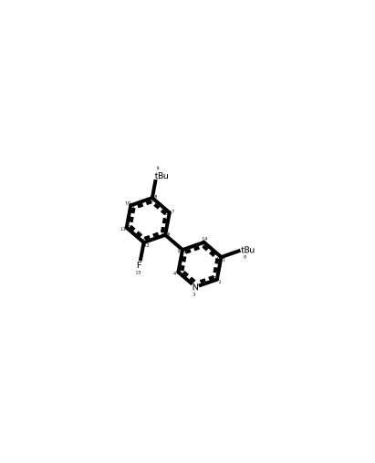 CC(C)(C)c1cncc(-c2cc(C(C)(C)C)ccc2F)c1